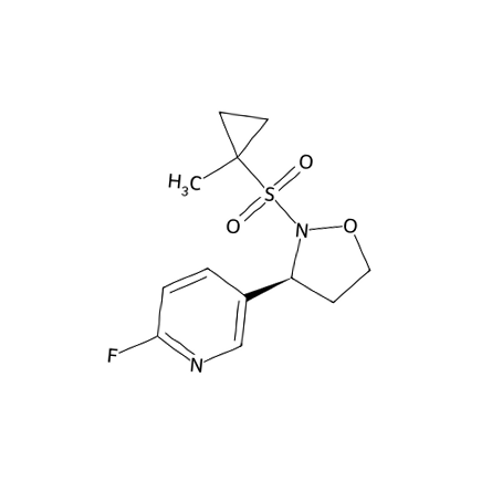 CC1(S(=O)(=O)N2OCC[C@H]2c2ccc(F)nc2)CC1